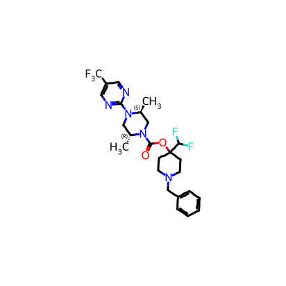 C[C@@H]1CN(c2ncc(C(F)(F)F)cn2)[C@@H](C)CN1C(=O)OC1(C(F)F)CCN(Cc2ccccc2)CC1